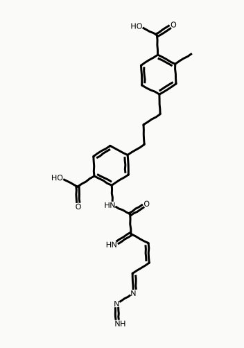 Cc1cc(CCCc2ccc(C(=O)O)c(NC(=O)C(=N)/C=C\C=N\N=N)c2)ccc1C(=O)O